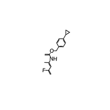 C=C(F)/C=C(\C)NC(=C)OCc1ccc(C2CC2)cc1